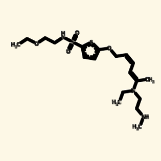 CCOCCNS(=O)(=O)c1ccc(OC/C=C\C=C(/C)N(CC)CCNC)s1